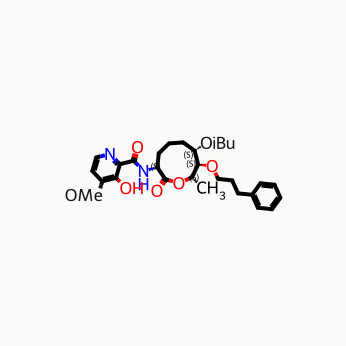 COc1ccnc(C(=O)N[C@H]2CCC[C@H](OCC(C)C)[C@@H](OCCCc3ccccc3)[C@H](C)OC2=O)c1O